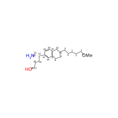 COCCCCCC1CCc2cc([C@@H](CN)CCCO)ccc2C1